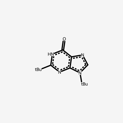 CC(C)(C)c1nc2c(ncn2C(C)(C)C)c(=O)[nH]1